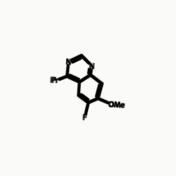 COc1cc2ncnc(C(C)C)c2cc1F